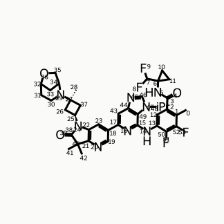 Cc1c(C(=O)NC2(C(F)F)CC2)cc(Nc2nc(-c3cnc4c(c3)N([C@H]3C[C@@](C)(N5CCC6CC5CO6)C3)C(=O)C4(C)C)cc3ncn(C(C)C)c23)c(F)c1F